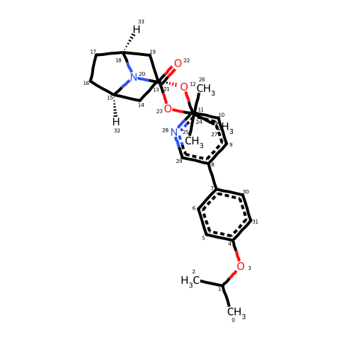 CC(C)Oc1ccc(-c2ccc(O[C@@H]3C[C@H]4CC[C@@H](C3)N4C(=O)OC(C)(C)C)nc2)cc1